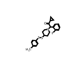 Cc1ccc(SSC2CCN(C(C(=O)C3CC3)c3ccccc3F)CC2)cc1